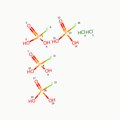 Cl.Cl.O=P(O)(O)F.O=P(O)(O)F.O=P(O)(O)F.O=P(O)(O)F